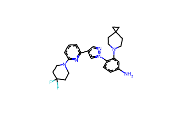 Nc1ccc(-n2cc(-c3cccc(N4CCC(F)(F)CC4)n3)cn2)c(N2CCC3(CC2)CC3)c1